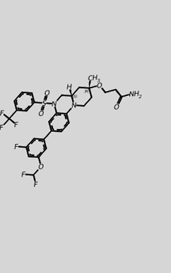 C[C@@]1(OCCC(N)=O)CCN2c3ccc(-c4cc(F)cc(OC(F)F)c4)cc3N(S(=O)(=O)c3cccc(C(F)(F)F)c3)C[C@@H]2C1